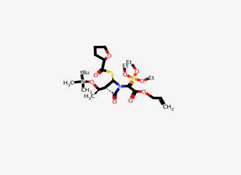 C=CCOC(=O)C(N1C(=O)[C@H]([C@@H](C)O[Si](C)(C)C(C)(C)C)[C@H]1SC(=O)C1CCCO1)=P(OCC)(OCC)OCC